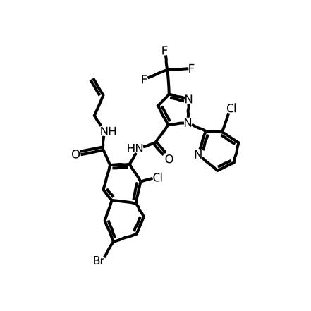 C=CCNC(=O)c1cc2cc(Br)ccc2c(Cl)c1NC(=O)c1cc(C(F)(F)F)nn1-c1ncccc1Cl